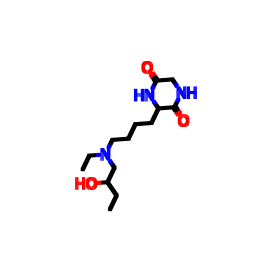 CCC(O)CN(CC)CCCCC1NC(=O)CNC1=O